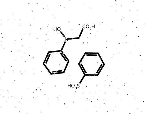 O=C(O)CN(O)c1ccccc1.O=S(=O)(O)c1ccccc1